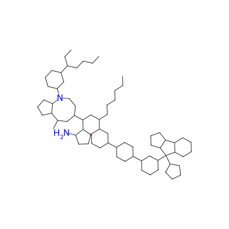 CCCCCCC(CC(C1CCN(C2CCCC(C(CC)CCCC)C2)C2CCCC2C(C)C1)C1CCCC1N)C1CCCC(C2CCC(C3CCCC(C4(C5CCCC5)C5CCCCC5C5CCCC54)C3)CC2)C1